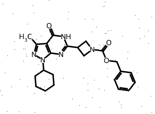 Cc1nn(C2CCCCC2)c2nc(C3CN(C(=O)OCc4ccccc4)C3)[nH]c(=O)c12